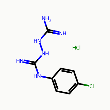 Cl.N=C(N)NNC(=N)Nc1ccc(Cl)cc1